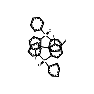 O=P(c1ccccc1)(c1ccccc1)c1cccc(F)c1-c1c(P(=O)(c2ccccc2)c2ccccc2)ccc(I)c1F